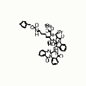 CC(C)CC1C(=O)N2c3ccccc3[C@@H](CC3NC(=O)c4ccccc4-n4c3nc3ccccc3c4=O)C2(O)N1C(=O)C(CCCCNC(=O)OCc1ccccc1)NC(=O)OC(C)(C)C